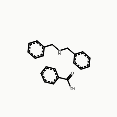 O=C(O)c1ccccc1.c1ccc(CNCc2ccccc2)cc1